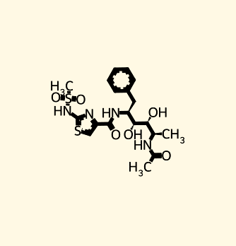 CC(=O)N[C@H](C)[C@@H](O)[C@H](O)[C@H](Cc1ccccc1)NC(=O)c1csc(NS(C)(=O)=O)n1